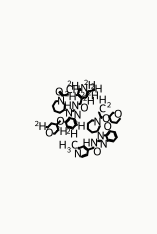 C=CC(=O)N1CCCCC(n2c(NC(=O)c3ccnc(C)c3)nc3cccc(OC4CCOCC4)c32)C1.[2H]c1nc(C([2H])([2H])[2H])c([2H])c(C(=O)Nc2nc3c([2H])c([2H])c([2H])c(OC4CCOC([2H])C4)c3n2[C@@H]2CCCCN(C(=O)C=C)C2)c1[2H]